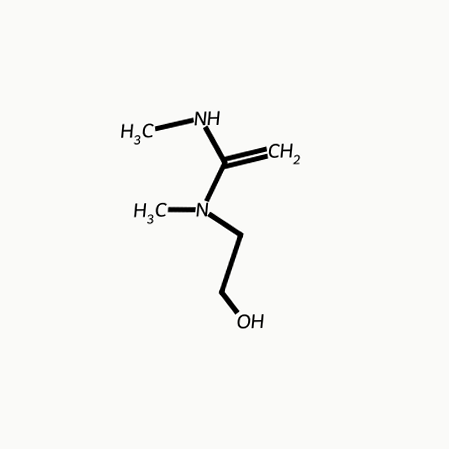 C=C(NC)N(C)CCO